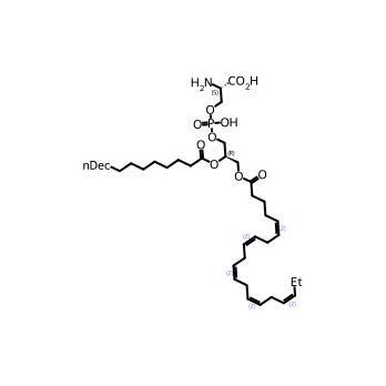 CC/C=C\C/C=C\C/C=C\C/C=C\C/C=C\CCCC(=O)OC[C@H](COP(=O)(O)OC[C@H](N)C(=O)O)OC(=O)CCCCCCCCCCCCCCCCC